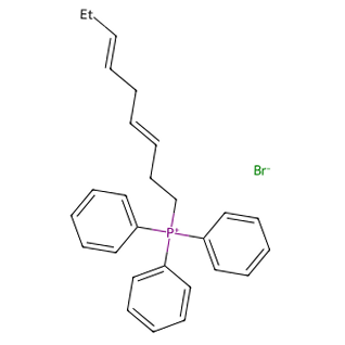 CCC=CCC=CCC[P+](c1ccccc1)(c1ccccc1)c1ccccc1.[Br-]